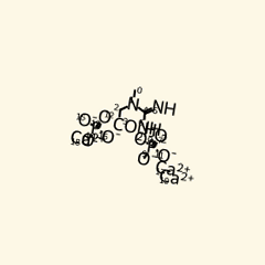 CN(CC(=O)O)C(=N)N.O=P([O-])([O-])[O-].O=P([O-])([O-])[O-].[Ca+2].[Ca+2].[Ca+2]